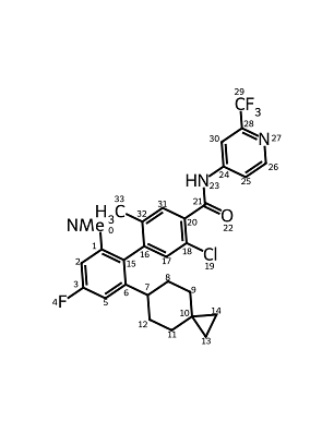 CNc1cc(F)cc(C2CCC3(CC2)CC3)c1-c1cc(Cl)c(C(=O)Nc2ccnc(C(F)(F)F)c2)cc1C